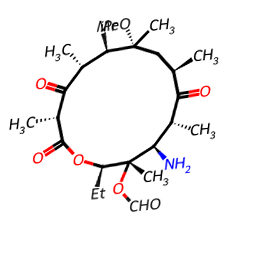 CC[C@H]1OC(=O)[C@H](C)C(=O)[C@H](C)[C@@H](C(C)C)[C@](C)(OC)C[C@@H](C)C(=O)[C@H](C)[C@@H](N)[C@]1(C)OC=O